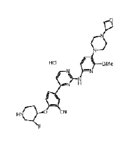 COc1nc(Nc2nccc(-c3ccc(O[C@@H]4CCNC[C@@H]4F)c(C#N)c3)n2)ccc1N1CCN(C2COC2)CC1.Cl